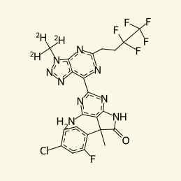 [2H]C([2H])([2H])n1nnc2c(-c3nc(N)c4c(n3)NC(=O)C4(C)c3ccc(Cl)cc3F)nc(CCC(F)(F)C(F)(F)F)nc21